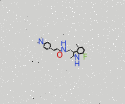 Cc1[nH]c2c(F)ccc(C)c2c1CCNC(=O)/C=C/c1ccc(N(C)C)cc1